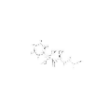 CCC[CH]C(=O)NS(=O)(=O)c1ccccc1